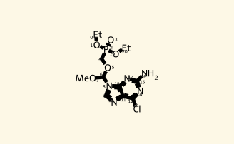 CCOP(=O)(COC(OC)n1cnc2c(Cl)nc(N)nc21)OCC